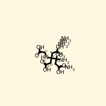 CC(N)(CC(=O)O)C(CC(=O)O)(CC(=O)O)NCC(=O)O.N.N.N.N